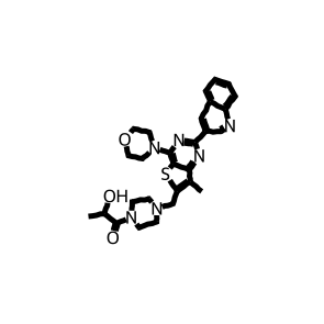 Cc1c(CN2CCN(C(=O)C(C)O)CC2)sc2c(N3CCOCC3)nc(-c3cnc4ccccc4c3)nc12